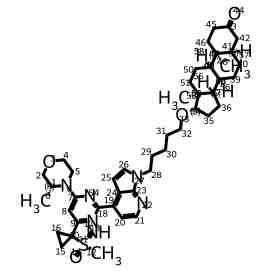 C[C@@H]1COCCN1c1cc(C2(S(C)(=N)=O)CC2)nc(-c2ccnc3c2ccn3CCCCCO[C@H]2CC[C@H]3[C@@H]4CC[C@H]5CC(=O)CC[C@]5(C)[C@H]4CC[C@]23C)n1